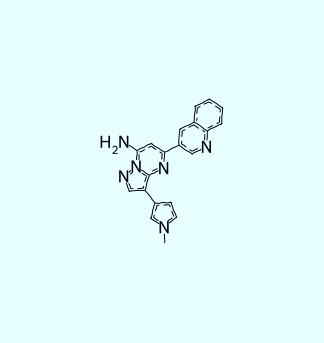 Cn1ccc(-c2cnn3c(N)cc(-c4cnc5ccccc5c4)nc23)c1